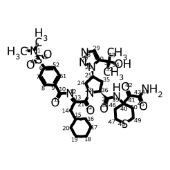 CN(C)S(=O)(=O)c1ccc(C(=O)/N=C(\CC2CCCCC2)C(=O)N2C[C@@H](n3nncc3C(C)(C)O)C[C@H]2C(=O)NC2(C(=O)C(N)=O)CCSCC2)cc1